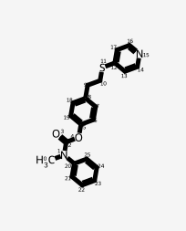 CN(C(=O)Oc1ccc(CCSc2ccncc2)cc1)c1ccccc1